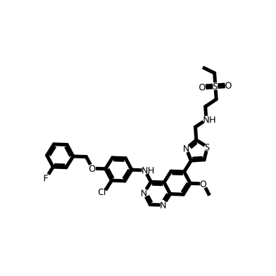 CCS(=O)(=O)CCNCc1nc(-c2cc3c(Nc4ccc(OCc5cccc(F)c5)c(Cl)c4)ncnc3cc2OC)cs1